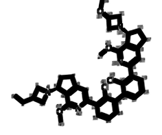 CCC1CN([C@H]2CCc3cc(-c4cccc(-c5cccc(-c6cc7c(c(OC)n6)[C@@H](N6CC(OC)C6)CC7)c5Cl)c4Cl)nc(OC)c32)C1